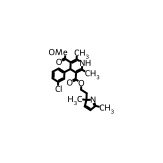 COC(=O)C1=C(C)NC(C)=C(C(=O)OCCC2(C)C=CC(C)=N2)C1c1cccc(Cl)c1